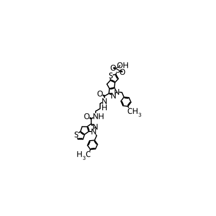 Cc1ccc(Cn2nc(C(=O)NCCCNC(=O)c3nn(Cc4ccc(C)cc4)c4c3Cc3sc(S(=O)(=O)O)cc3-4)c3c2-c2ccsc2C3)cc1